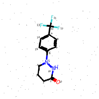 O=C1CCCN(c2ccc(C(F)(F)F)cc2)N1